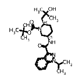 CC(C)n1nc(C(=O)N[C@@H]2CC[C@H](CC(C)(C)O)N(C(=O)OC(C)(C)C)C2)c2ccccc21